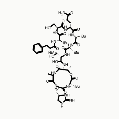 CC[C@H](C)[C@H](NC(=O)[C@@H](Cc1ccccc1)NC)C(=O)N[C@@H](CO)C(=O)N[C@H](CCC(N)=O)C(=O)N[C@@H](C(=O)N[C@H](C(=O)N[C@@H](CO)C(O)N[C@H]1C(=O)NC(C)C(=O)N[C@@H](C[C@H]2CNC(=N)N2)C(=O)N[C@@H]([C@@H](C)CC)C(=O)O[C@H]1C)[C@@H](C)CC)[C@@H](C)CC